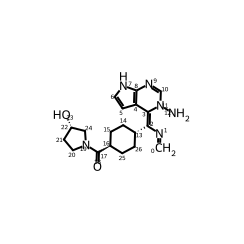 C=N/C(=C1/c2cc[nH]c2N=CN1N)[C@H]1CC[C@H](C(=O)N2CC[C@H](O)C2)CC1